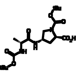 C[C@@H](NC(=O)OC(C)(C)C)C(=O)N[C@H]1C[C@H](C(=O)O)N(C(=O)OC(C)(C)C)C1